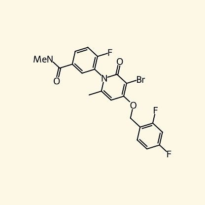 CNC(=O)c1ccc(F)c(-n2c(C)cc(OCc3ccc(F)cc3F)c(Br)c2=O)c1